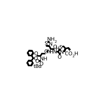 C=CC1=C(C(=O)O)N2C(=O)C(NC(=O)C(=NOCCC(NC(=O)OC(C)(C)C)C(=O)OC(c3ccccc3)c3ccccc3)c3csc(N)n3)[C@@H]2SC1